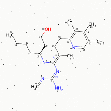 C=N/C(N)=N\C(N[C@H](CCO)CCCC)=C(/C)CCc1ncc(C)c(C)c1C